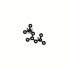 c1ccc(-c2cc(-c3cccc(-c4cc(-c5ccccc5)cc(-c5ccccc5)n4)c3)cc(-c3cccc(-c4nc(-c5ccccc5)nc(-c5ccccc5)n4)c3)c2)cc1